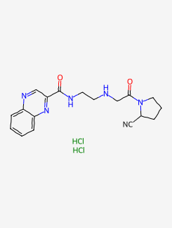 Cl.Cl.N#CC1CCCN1C(=O)CNCCNC(=O)c1cnc2ccccc2n1